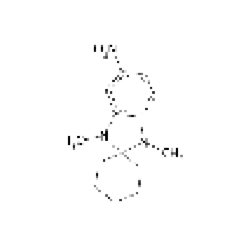 CN1c2ccc([N+](=O)[O-])cc2N(C)C12CCCCC2